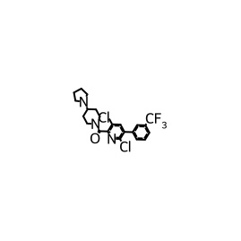 O=C(c1nc(Cl)c(-c2cccc(C(F)(F)F)c2)cc1Cl)N1CCC(N2CCCC2)CC1